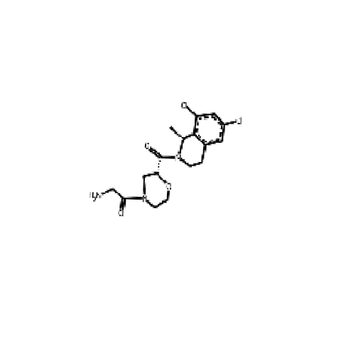 C[C@H]1c2c(Cl)cc(Cl)cc2CCN1C(=O)[C@H]1CN(C(=O)CN)CCO1